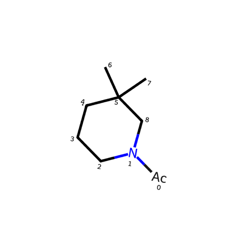 CC(=O)N1CC[CH]C(C)(C)C1